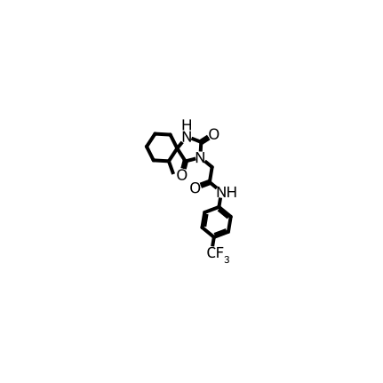 CC1CCCCC12NC(=O)N(CC(=O)Nc1ccc(C(F)(F)F)cc1)C2=O